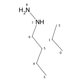 CCC.CCCCNN